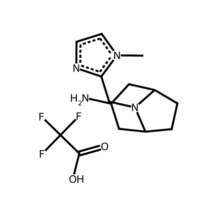 Cn1ccnc1CN1C2CCC1CC(N)C2.O=C(O)C(F)(F)F